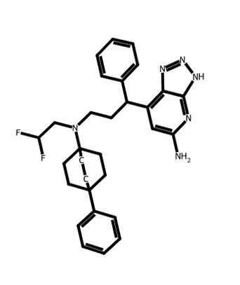 Nc1cc(C(CCN(CC(F)F)C23CCC(c4ccccc4)(CC2)CC3)c2ccccc2)c2nn[nH]c2n1